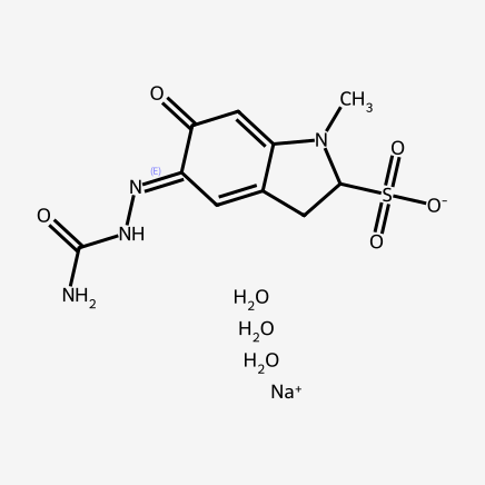 CN1C2=CC(=O)/C(=N/NC(N)=O)C=C2CC1S(=O)(=O)[O-].O.O.O.[Na+]